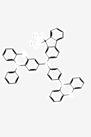 CC1(C)c2ccccc2-c2ccc(N(c3ccc(N4c5ccccc5Sc5ccccc54)cc3)c3ccc4c(c3)Oc3ccccc3N4c3ccccc3)cc21